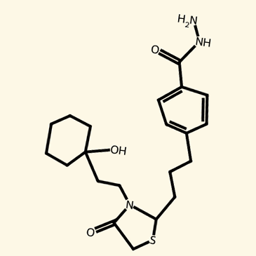 NNC(=O)c1ccc(CCCC2SCC(=O)N2CCC2(O)CCCCC2)cc1